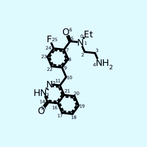 CCN(CCN)C(=O)c1cc(Cc2n[nH]c(=O)c3ccccc23)ccc1F